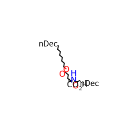 CCCCCCCCCCCCCCCCCCOC(=O)CC[C@H](NC(=O)CCCCCCCCCCC)C(=O)O